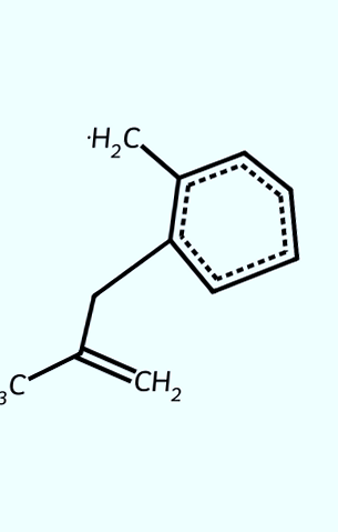 [CH2]c1ccccc1CC(=C)C